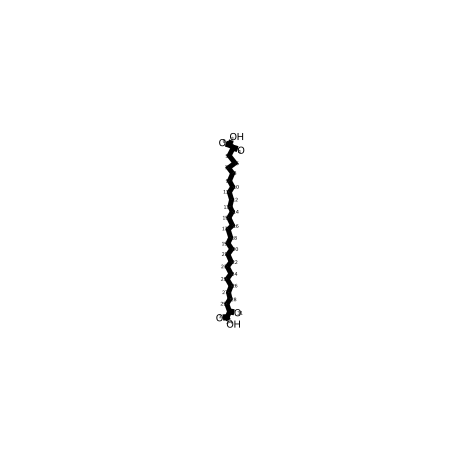 O=C(O)C(=O)CCCCCCCCCCCCCCCCCCCCCCCCCC(=O)C(=O)O